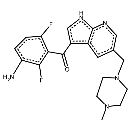 CN1CCN(Cc2cnc3[nH]cc(C(=O)c4c(F)ccc(N)c4F)c3c2)CC1